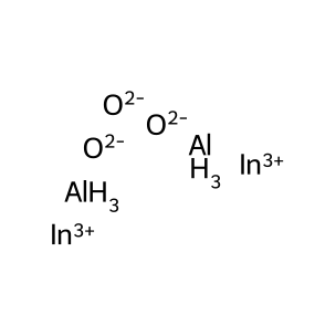 [AlH3].[AlH3].[In+3].[In+3].[O-2].[O-2].[O-2]